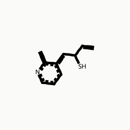 C=CC(S)C=c1cccnc1=C